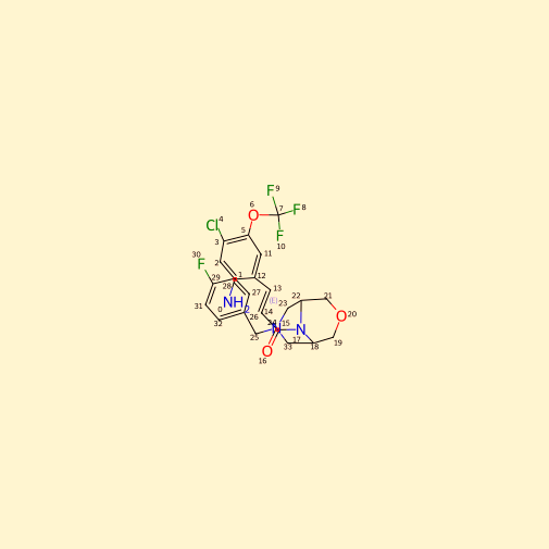 Nc1cc(Cl)c(OC(F)(F)F)cc1/C=C/C(=O)N1C2COCC1CN(Cc1ccc(F)cc1)C2